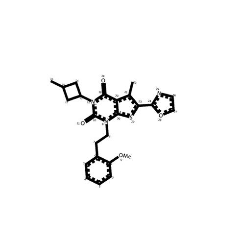 COc1ccccc1CCn1c(=O)n(C2CC(C)C2)c(=O)c2c(C)c(-c3ncco3)sc21